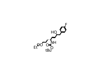 CCOOCCC[C@H](/C=C/[C@@H](O)Cc1ccc(F)cc1)NC(=O)OC(C)(C)C